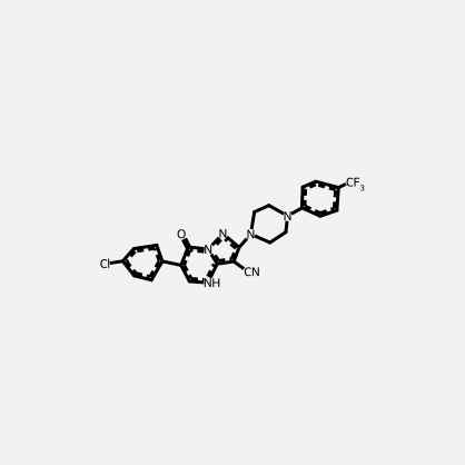 N#Cc1c(N2CCN(c3ccc(C(F)(F)F)cc3)CC2)nn2c(=O)c(-c3ccc(Cl)cc3)c[nH]c12